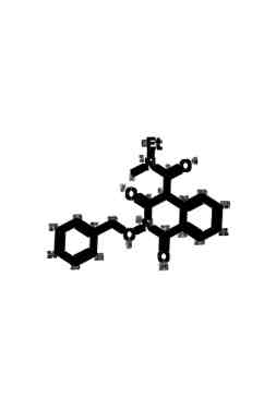 CCN(C)C(=O)C1C(=O)N(OCc2ccccc2)C(=O)c2ccccc21